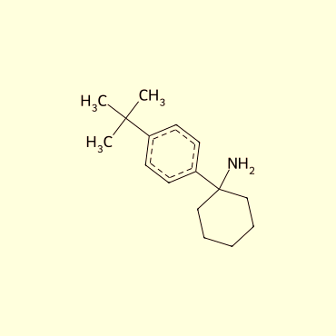 CC(C)(C)c1ccc(C2(N)CCCCC2)cc1